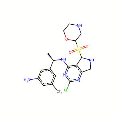 C[C@@H](Nc1nc(Cl)nc2c1C(S(=O)(=O)C1CNCCO1)NC2)c1cc(N)cc(C(F)(F)F)c1